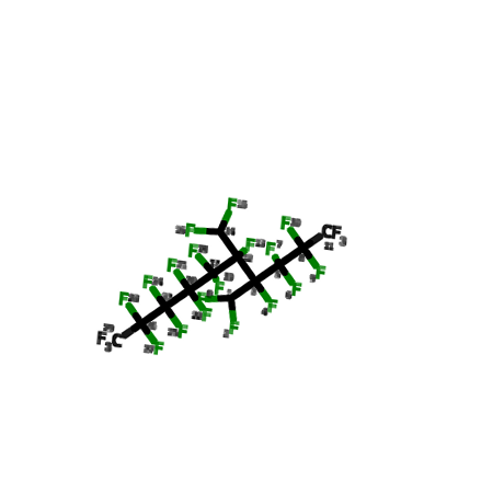 FC(F)C(F)(C(F)(F)C(F)(F)C(F)(F)F)C(F)(C(F)F)C(F)(F)C(F)(F)C(F)(F)C(F)(F)C(F)(F)F